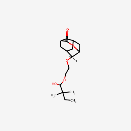 CCC(C)(C)C(O)OCCO[C@H]1C2CC3CC(C2)C(=O)OC1C3